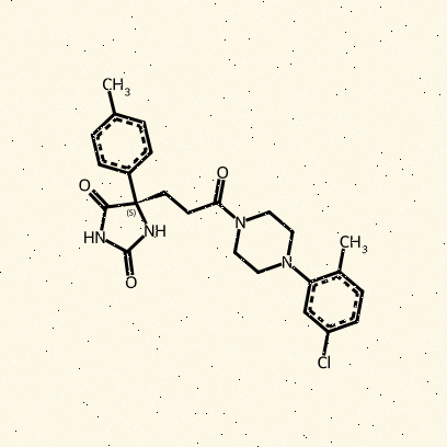 Cc1ccc([C@]2(CCC(=O)N3CCN(c4cc(Cl)ccc4C)CC3)NC(=O)NC2=O)cc1